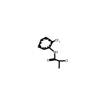 CC(Cl)C(=O)Nc1ccccc1C(F)(F)F